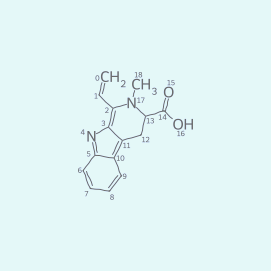 C=CC1=C2N=c3ccccc3=C2CC(C(=O)O)N1C